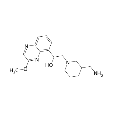 COc1cnc2cccc(C(O)CN3CCCC(CN)C3)c2n1